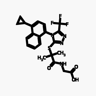 CC(C)(Sc1nnc(C(F)(F)F)n1-c1ccc(C2CC2)c2ccccc12)C(=O)NCC(=O)O